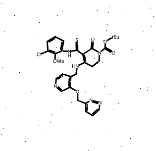 COc1c(Cl)cccc1NC(=S)C1=C(NCc2ccncc2OCc2cccnn2)CCN(C(=O)OC(C)(C)C)C1=O